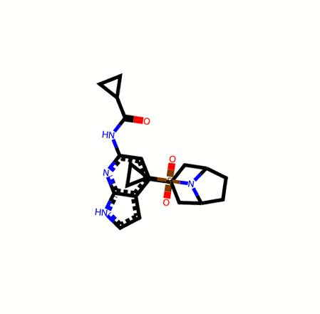 O=C(Nc1cc(C2CC3CCC(C2)N3S(=O)(=O)C2CC2)c2cc[nH]c2n1)C1CC1